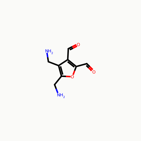 NCc1oc(C=O)c(C=O)c1CN